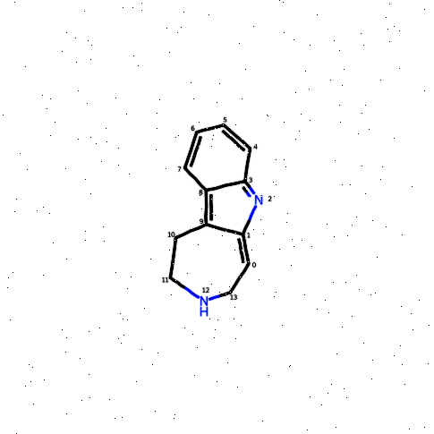 C1=C2N=c3ccccc3=C2CCNC1